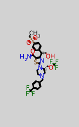 CCS(=O)(=O)c1ccc([C@@H](CO)c2nc(N3CCN(Cc4ccc(C(F)(F)F)cc4)C[C@H]3COC(F)(F)F)sc2C(N)=O)cc1